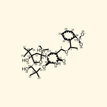 CC(OCc1cn([C@@]2([SiH](C)C)C[C@@](O)(C(C)(C)C)[C@@H](C(O)C(C)(C)C)O2)c(=O)[nH]c1=O)c1ccccc1[N+](=O)[O-]